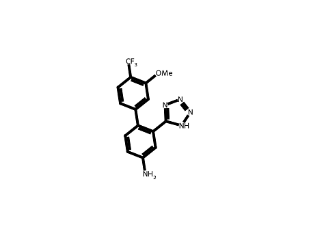 COc1cc(-c2ccc(N)cc2-c2nnn[nH]2)ccc1C(F)(F)F